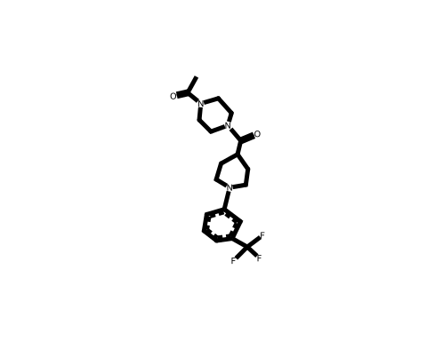 CC(=O)N1CCN(C(=O)C2CCN(c3cccc(C(F)(F)F)c3)CC2)CC1